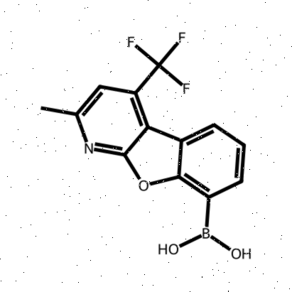 Cc1cc(C(F)(F)F)c2c(n1)oc1c(B(O)O)cccc12